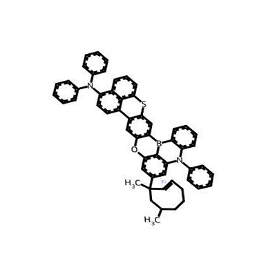 CC1CCC/C=C/C(C)(c2cc3c4c(c2)N(c2ccccc2)c2ccccc2B4c2cc4c(cc2O3)-c2ccc(N(c3ccccc3)c3ccccc3)c3cccc(c23)S4)C1